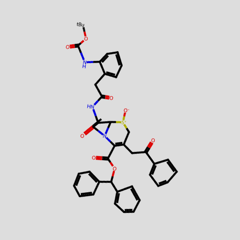 CC(C)(C)OC(=O)Nc1ccccc1CC(=O)NC1C(=O)N2C(C(=O)OC(c3ccccc3)c3ccccc3)=C(CC(=O)c3ccccc3)C[S+]([O-])C12